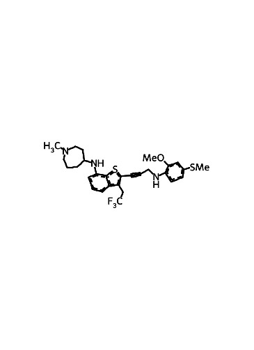 COc1cc(SC)ccc1NCC#Cc1sc2c(NC3CCCN(C)CC3)cccc2c1CC(F)(F)F